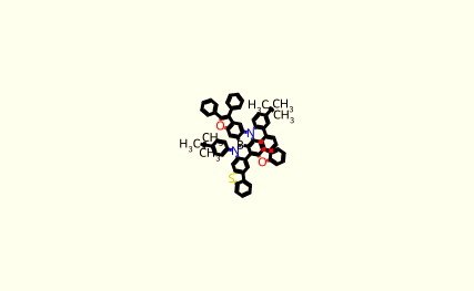 CC(C)(C)c1ccc(N2B3c4cc5oc(-c6ccccc6)c(-c6ccccc6)c5cc4N(c4ccc(C(C)(C)C)cc4-c4ccccc4)c4cc5c(oc6ccccc65)c(c43)-c3cc4c(cc32)sc2ccccc24)cc1